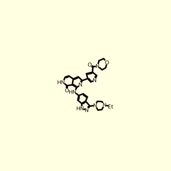 CCN1CCN(c2n[nH]c3cc(Nc4nc(-c5cncc(C(=O)N6CCOCC6)c5)cc5cc[nH]c(=O)c45)ccc23)CC1